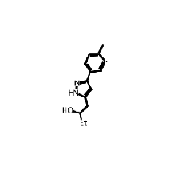 CCC(O)Cc1cc(-c2c[c]c(C)cc2)n[nH]1